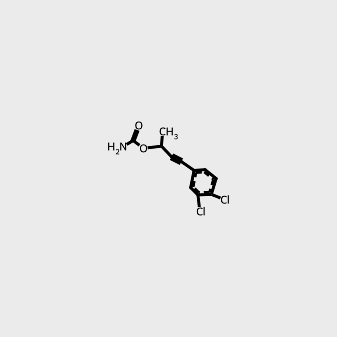 CC(C#Cc1ccc(Cl)c(Cl)c1)OC(N)=O